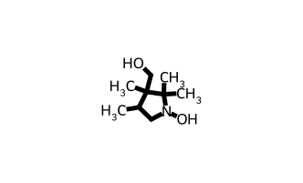 CC1CN(O)C(C)(C)C1(C)CO